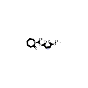 COC(=O)/C=C\C(=O)OC(C)N1CCCCCC1=O